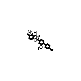 C#Cc1ccc(-c2ccc(C(=O)N(C)Cc3cccc4cn[nH]c34)cc2OCC)cc1